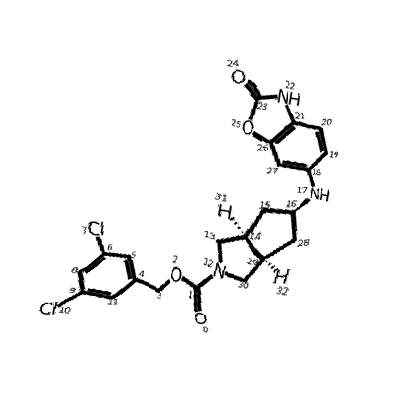 O=C(OCc1cc(Cl)cc(Cl)c1)N1C[C@H]2C[C@@H](Nc3ccc4[nH]c(=O)oc4c3)C[C@H]2C1